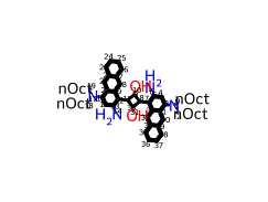 CCCCCCCCN(CCCCCCCC)c1cc(N)c(C2C(O)C(c3c(N)cc(N(CCCCCCCC)CCCCCCCC)c4cc5ccccc5cc34)C2O)c2cc3ccccc3cc12